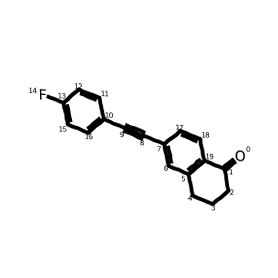 O=C1CCCc2cc(C#Cc3ccc(F)cc3)ccc21